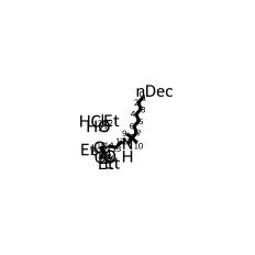 CCCCCCCCCCCCCCCCCC(C)(C)NCCC[Si](OCC)(OCC)OCC.CCO.Cl